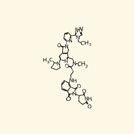 CCn1cnnc1-c1cccc(N2Cc3c(cc(N4CCC[C@H]4C)nc3CN(C)C(=O)CCNc3cccc4c3C(=O)N(C3CCC(=O)NC3=O)C4=O)C2=O)n1